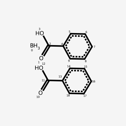 B.O=C(O)c1ccccc1.O=C(O)c1ccccc1